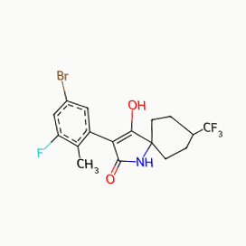 Cc1c(F)cc(Br)cc1C1=C(O)C2(CCC(C(F)(F)F)CC2)NC1=O